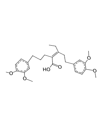 CCC(CCc1ccc(OC)c(OC)c1)=C(CCCc1ccc(OC)c(OC)c1)C(=O)O